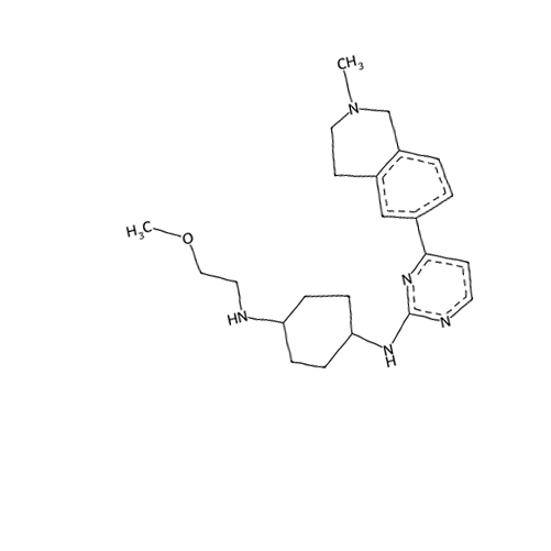 COCCNC1CCC(Nc2nccc(-c3ccc4c(c3)CCN(C)C4)n2)CC1